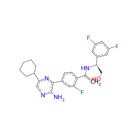 C=C(N[C@H](CO)c1cc(F)cc(I)c1)c1ccc(-c2nc(C3CCCCC3)cnc2N)cc1F